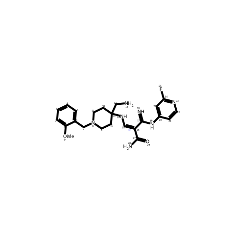 COc1ccccc1CN1CCC(CN)(N/C=C(\C(=N)Nc2ccnc(F)c2)C(N)=O)CC1